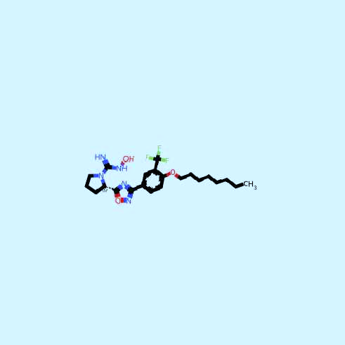 CCCCCCCCOc1ccc(-c2noc([C@@H]3CCCN3C(=N)NO)n2)cc1C(F)(F)F